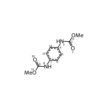 COC(=O)Nc1[c]cc(NC(=O)OC)cc1